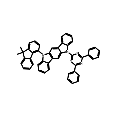 CC1(C)c2ccccc2-c2c(-n3c4ccccc4c4cc5c(cc43)c3ccccc3n5-c3nc(-c4ccccc4)nc(-c4ccccc4)n3)cccc21